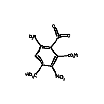 O=C(O)c1cc([N+](=O)[O-])c(I(=O)=O)c(C(=O)O)c1[N+](=O)[O-]